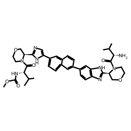 COC(=O)N[C@H](C(=O)N1CCOC[C@H]1c1ncc(-c2ccc3cc(-c4ccc5nc([C@@H]6COCCN6C(=O)[C@@H](N)C(C)C)[nH]c5c4)ccc3c2)[nH]1)C(C)C